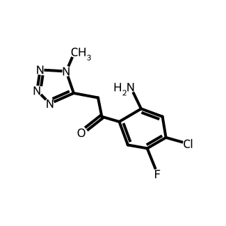 Cn1nnnc1CC(=O)c1cc(F)c(Cl)cc1N